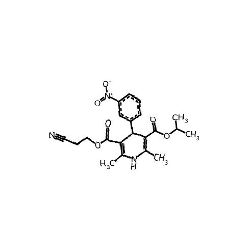 CC1=C(C(=O)OCCC#N)C(c2cccc([N+](=O)[O-])c2)C(C(=O)OC(C)C)=C(C)N1